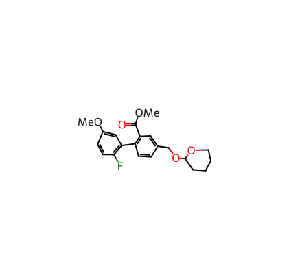 COC(=O)c1cc(COC2CCCCO2)ccc1-c1cc(OC)ccc1F